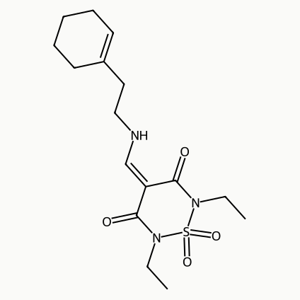 CCN1C(=O)C(=CNCCC2=CCCCC2)C(=O)N(CC)S1(=O)=O